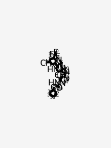 C[C@H](Nc1ncnc2c(C(F)(F)F)cc(Cl)cc12)c1ncnn1-c1cc(NC(=O)Oc2ccccc2)ncn1